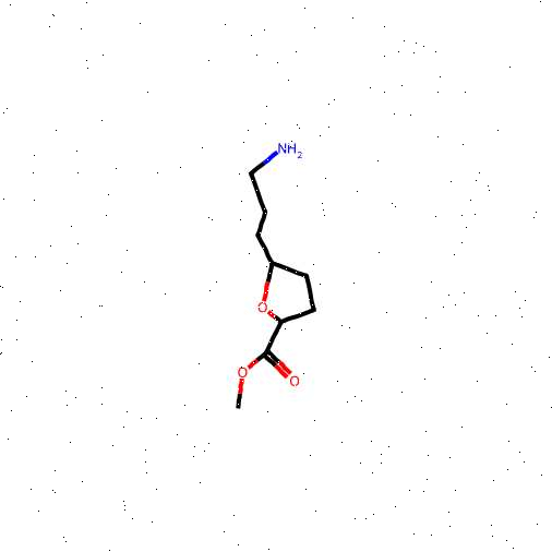 COC(=O)C1CCC(CCCN)O1